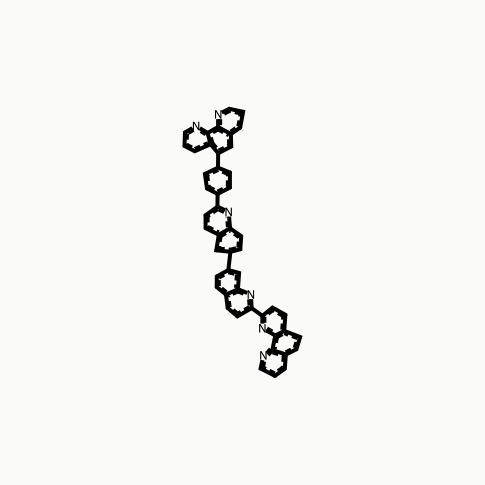 c1cnc2c(c1)ccc1ccc(-c3ccc4ccc(-c5ccc6nc(-c7ccc(-c8cc9cccnc9c9ncccc89)cc7)ccc6c5)cc4n3)nc12